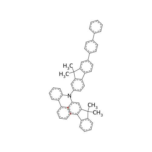 CC1(C)c2ccccc2-c2ccc(N(c3ccc4c(c3)C(C)(C)c3cc(-c5ccc(-c6ccccc6)cc5)ccc3-4)c3ccccc3-c3ccccc3)cc21